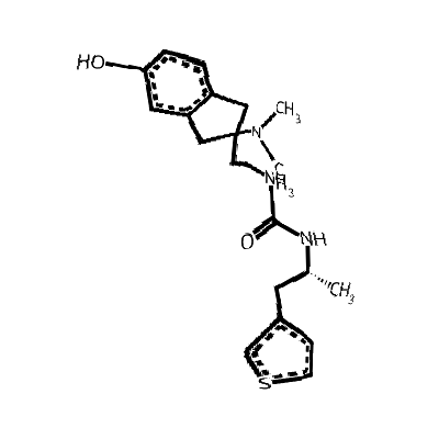 C[C@H](Cc1ccsc1)NC(=O)NCC1(N(C)C)Cc2ccc(O)cc2C1